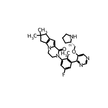 Cc1c(-c2ncncc2OC[C@@H]2CCCN2)cc(F)cc1N1CCn2c(cc3c2CC(C)(C)C3)C1=O